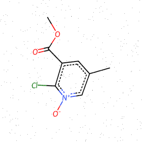 COC(=O)c1cc(C)c[n+]([O-])c1Cl